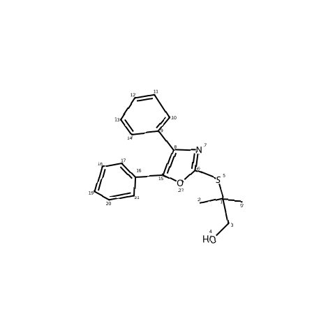 CC(C)(CO)Sc1nc(-c2ccccc2)c(-c2ccccc2)o1